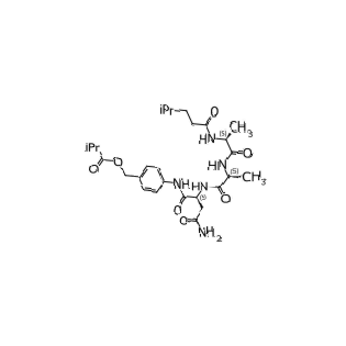 CC(C)CCC(=O)N[C@@H](C)C(=O)N[C@@H](C)C(=O)N[C@@H](CC(N)=O)C(=O)Nc1ccc(COC(=O)C(C)C)cc1